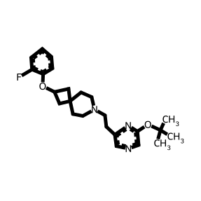 CC(C)(C)Oc1cncc(CCN2CCC3(CC2)CC(Oc2ccccc2F)C3)n1